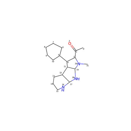 CC(=O)C1C(C2CCCCC2)C2C3CCCNC3NC2N1C